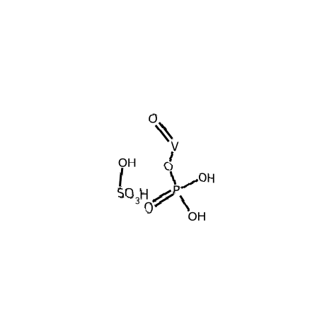 O=S(=O)(O)O.[O]=[V][O]P(=O)(O)O